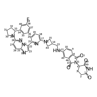 O=C1CCC(N2C(=O)c3ccc(NCC4CN(c5cccc(-c6cnc7ccc(N8CCCC8c8cccc(F)c8)nn67)n5)C4)cc3C2=O)C(=O)N1